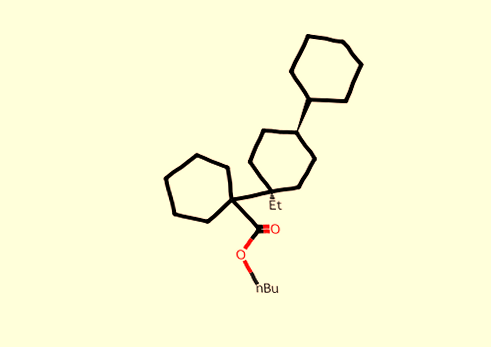 CCCCOC(=O)C1([C@]2(CC)CC[C@H](C3CCCCC3)CC2)CCCCC1